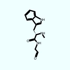 CN[C@@H](Cc1c[nH]c2ccccc12)C(=O)NCC=O